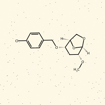 CO[C@@H]1C[C@H](OCc2ccc(Cl)cc2)[C@H]2CO[C@@H]1O2